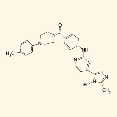 Cc1ccc(N2CCN(C(=O)c3ccc(Nc4nccc(-c5cnc(C)n5C(C)C)n4)cc3)CC2)cc1